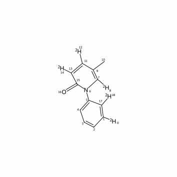 [2H]c1cccc(-n2c([2H])c(C)c([2H])c([2H])c2=O)c1[2H]